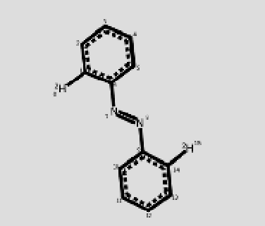 [2H]c1ccccc1N=Nc1ccccc1[2H]